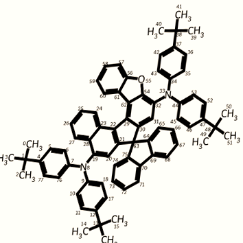 CC(C)(C)c1ccc(N(c2ccc(C(C)(C)C)cc2)c2cc3c(c4ccccc24)-c2c(cc(N(c4ccc(C(C)(C)C)cc4)c4ccc(C(C)(C)C)cc4)c4oc5ccccc5c24)C32c3ccccc3-c3ccccc32)cc1